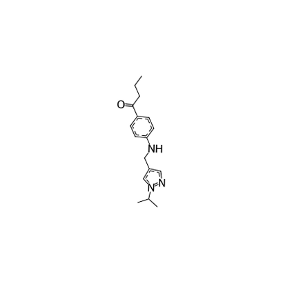 CCCC(=O)c1ccc(NCc2cnn(C(C)C)c2)cc1